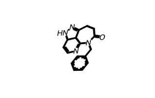 O=C1CCC2=NNC3C=CN=C(C23)N1Cc1ccccc1